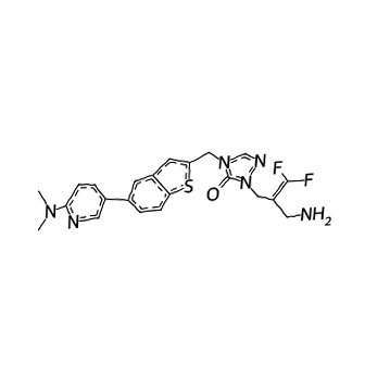 CN(C)c1ccc(-c2ccc3sc(Cn4cnn(CC(CN)=C(F)F)c4=O)cc3c2)cn1